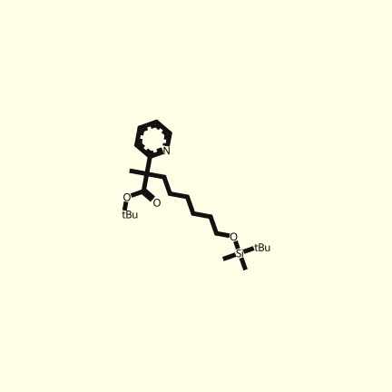 CC(C)(C)OC(=O)C(C)(CCCCCCO[Si](C)(C)C(C)(C)C)c1ccccn1